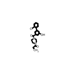 C=CC(=O)N1CCN(C(=O)c2cc(O)cc(-c3ccccc3Cl)c2)CC1